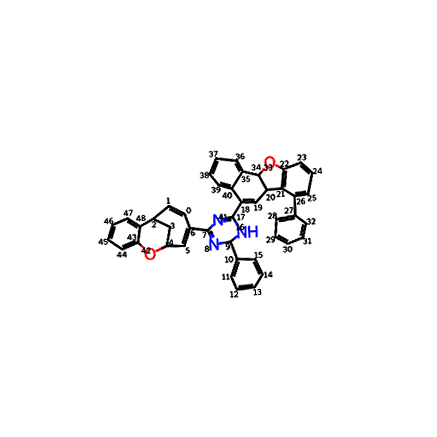 C1=CC2CC(C=C1C1=NC(c3ccccc3)NC(C3=CC4c5c(cccc5-c5ccccc5)OC4c4ccccc43)=N1)Oc1ccccc12